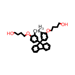 Cc1cc(C2(c3ccc(OCCCCO)c(C)c3)c3ccccc3-c3ccccc32)ccc1OCCCCO